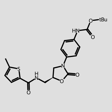 Cc1ccc(C(=O)NC[C@H]2CN(c3ccc(NC(=O)OC(C)(C)C)cc3)C(=O)O2)s1